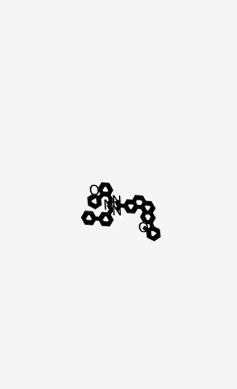 c1ccc(-c2cccc(-c3nc(-c4ccc5c(ccc6ccc7cc8c(cc7c65)oc5ccccc58)c4)nc(-c4cccc5oc6ccccc6c45)n3)c2)cc1